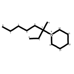 CCCCCC(C)(CC)N1CCCCC1